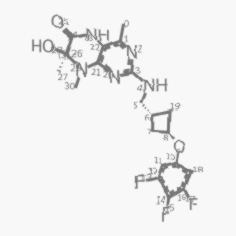 Cc1nc(NC[C@H]2C[C@H](Oc3cc(F)c(F)c(F)c3)C2)nc2c1NC(=O)[C@](C)(O)N2C